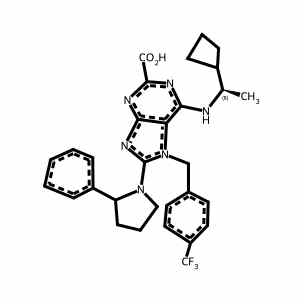 C[C@@H](Nc1nc(C(=O)O)nc2nc(N3CCCC3c3ccccc3)n(Cc3ccc(C(F)(F)F)cc3)c12)C1CCC1